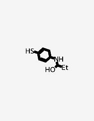 CCC(O)NC1C=CC(S)=CC1